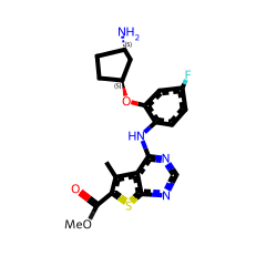 COC(=O)c1sc2ncnc(Nc3ccc(F)cc3O[C@H]3CC[C@H](N)C3)c2c1C